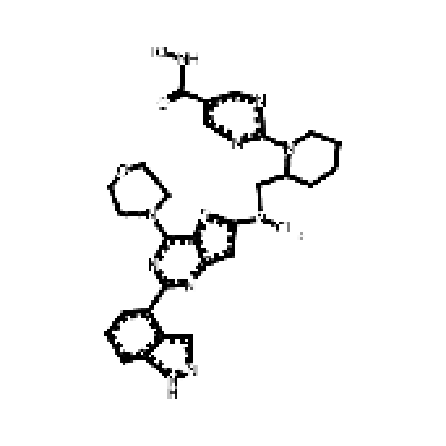 CN(CC1CCCCN1c1ncc(C(=O)NO)cn1)c1cc2nc(-c3cccc4[nH]ncc34)nc(N3CCOCC3)c2s1